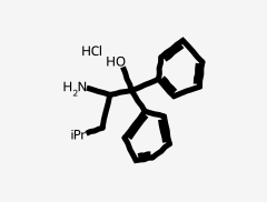 CC(C)CC(N)C(O)(c1ccccc1)c1ccccc1.Cl